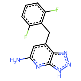 Nc1cc(Cc2c(F)cccc2F)c2nn[nH]c2n1